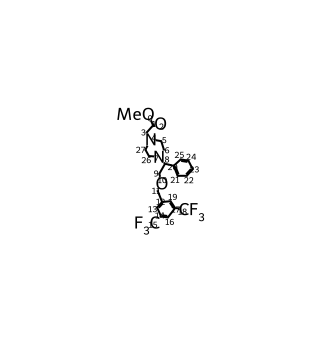 COC(=O)CN1CCN(C(COCc2cc(C(F)(F)F)cc(C(F)(F)F)c2)c2ccccc2)CC1